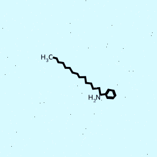 CCCCCCCCCCCCCCC(N)c1ccccc1